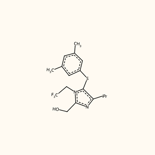 Cc1cc(C)cc(Sc2c(C(C)C)nc(CO)n2CC(F)(F)F)c1